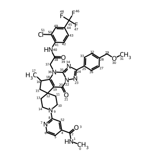 CNC(=O)c1ccnc(N2CCC3(CC2)CC(C)c2c3c(=O)n3nc(-c4ccc(COC)cc4)nc3n2CC(=O)Nc2ccc(C(F)(F)F)cc2Cl)c1